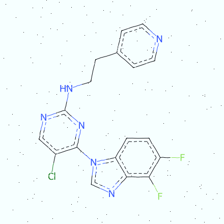 Fc1ccc2c(ncn2-c2nc(NCCc3ccncc3)ncc2Cl)c1F